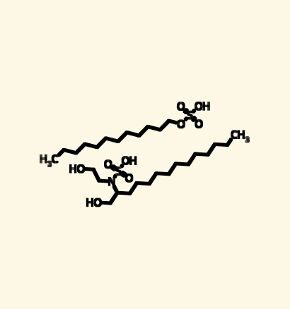 CCCCCCCCCCCCC(CO)N(CCO)S(=O)(=O)O.CCCCCCCCCCCCOS(=O)(=O)O